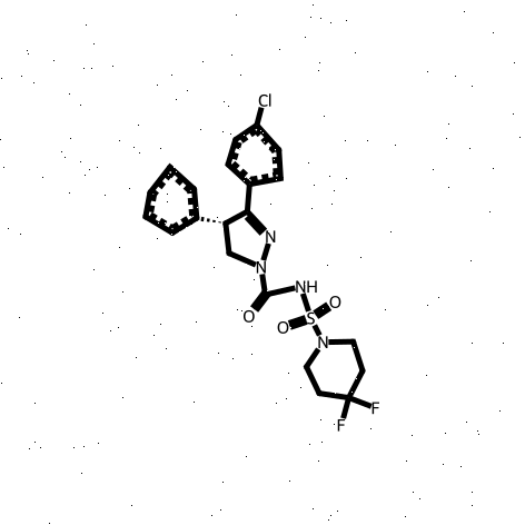 O=C(NS(=O)(=O)N1CCC(F)(F)CC1)N1C[C@H](c2ccccc2)C(c2ccc(Cl)cc2)=N1